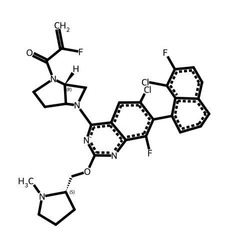 C=C(F)C(=O)N1CCC2[C@H]1CN2c1nc(OC[C@@H]2CCCN2C)nc2c(F)c(-c3cccc4ccc(F)c(Cl)c34)c(Cl)cc12